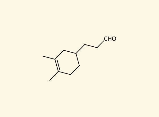 CC1=C(C)CC(CCC=O)CC1